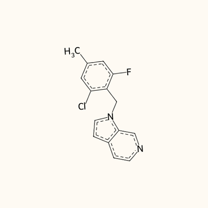 Cc1cc(F)c(Cn2ccc3ccncc32)c(Cl)c1